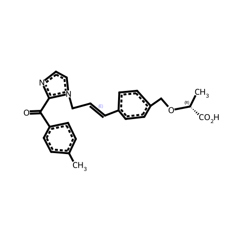 Cc1ccc(C(=O)c2nccn2C/C=C/c2ccc(CO[C@H](C)C(=O)O)cc2)cc1